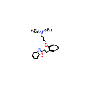 CCCCN(CCCC)CCCCOc1ccccc1/C=C/c1nc2ccccc2o1